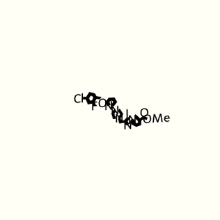 COC(=O)c1ccc2nc(CN3CCN(c4cccc(OCc5ccc(Cl)cc5F)n4)CC3)c(I)n2c1